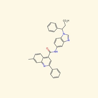 Cc1ccc2c(C(=O)Nc3ccc4c(c3)ncn4C(CC(=O)O)c3ccccc3)cc(-c3ccccc3)nc2c1